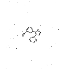 N#Cc1cccc(-c2occc2-c2ccccn2)c1